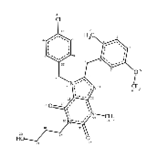 Cc1ccc(OC(F)(F)F)cc1Cc1nc2c(c(=O)n(CCCO)c(=O)n2C)n1Cc1ccc(Cl)cc1